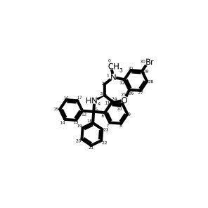 CN1C[C@H](NC(c2ccccc2)(c2ccccc2)c2ccccc2)COc2ccc(Br)cc21